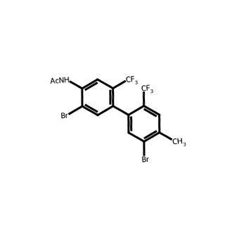 CC(=O)Nc1cc(C(F)(F)F)c(-c2cc(Br)c(C)cc2C(F)(F)F)cc1Br